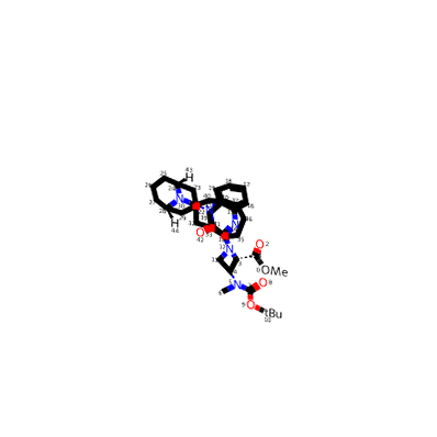 COC(=O)[C@@H]1[C@H](N(C)C(=O)OC(C)(C)C)CN1c1nc2ccccc2n([C@H]2C[C@H]3CCC[C@@H](C2)N3C2CC3CCCCC(C3)C2)c1=O